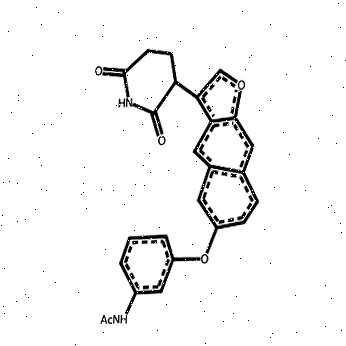 CC(=O)Nc1cccc(Oc2ccc3cc4occ(C5CCC(=O)NC5=O)c4cc3c2)c1